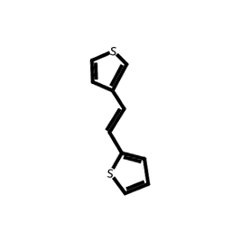 C(=C\c1cccs1)/c1ccsc1